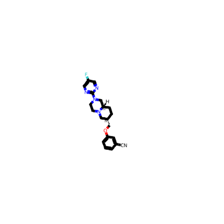 N#Cc1cccc(OC[C@H]2CC[C@H]3CN(c4ncc(F)cn4)CCN3C2)c1